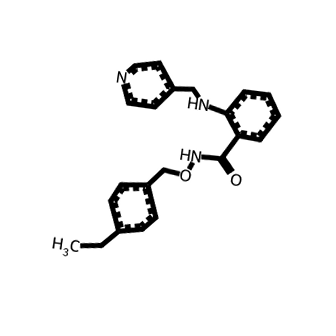 CCc1ccc(CONC(=O)c2ccccc2NCc2ccncc2)cc1